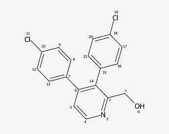 OCc1nccc(-c2ccc(Cl)cc2)c1-c1ccc(Cl)cc1